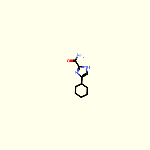 NC(=O)c1nc(C2CCCCC2)c[nH]1